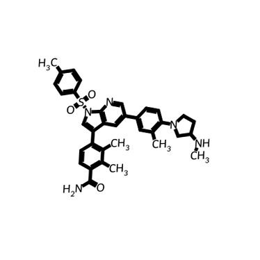 CNC1CCN(c2ccc(-c3cnc4c(c3)c(-c3ccc(C(N)=O)c(C)c3C)cn4S(=O)(=O)c3ccc(C)cc3)cc2C)C1